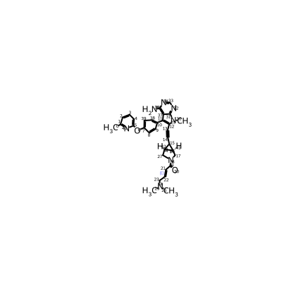 Cc1cccc(Oc2ccc(-c3c(C#CC4[C@H]5CN(C(=O)/C=C/CN(C)C)C[C@@H]45)n(C)c4ncnc(N)c34)cc2)n1